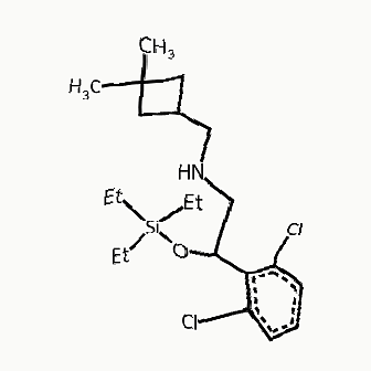 CC[Si](CC)(CC)OC(CNCC1CC(C)(C)C1)c1c(Cl)cccc1Cl